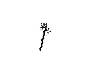 CCCCCCCCCCC(C(C)C(=O)O)[Si](C)(C)C